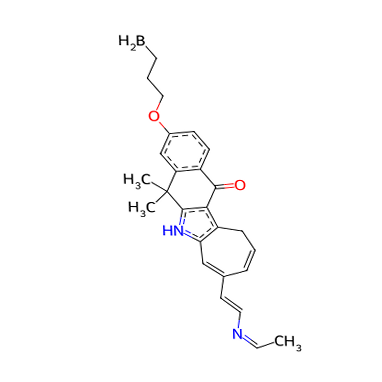 BCCCOc1ccc2c(c1)C(C)(C)c1[nH]c3c(c1C2=O)CC=CC(/C=C/N=C\C)=C3